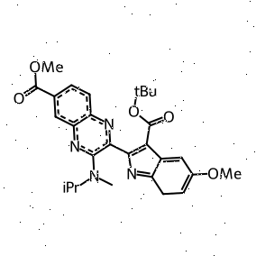 COC(=O)c1ccc2nc(C3=C(C(=O)OC(C)(C)C)C4=CC(OC)=CCC4=N3)c(N(C)C(C)C)nc2c1